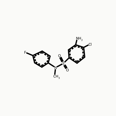 CN(c1ccc(F)cc1)S(=O)(=O)c1ccc(Cl)c(N)c1